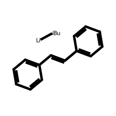 C(=Cc1ccccc1)c1ccccc1.[Li][CH](C)CC